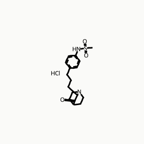 CS(=O)(=O)Nc1ccc(CCCC2C(=O)C3CCN2CC3)cc1.Cl